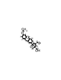 CCOc1ccc(Cc2cc([C@]34C[C@@H](C=O)C[C@](CO)(CO3)O4)ccc2Cl)cc1